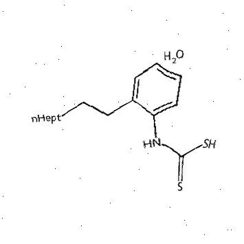 CCCCCCCCCc1ccccc1NC(=S)S.O